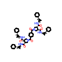 O=C(N[C@H]1C[C@@H]1c1ccccc1)[C@H]1CN(C(=O)c2ccc(C(=O)N3C[C@H](C(=O)N[C@H]4C[C@@H]4c4ccccc4)[C@@H](C(=O)N[C@H]4C[C@@H]4c4ccccc4)C3)cc2)C[C@@H]1C(=O)N[C@H]1C[C@@H]1c1ccccc1